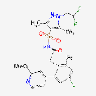 COc1cc(-c2cc(F)cc(C(C)C)c2CC(=O)NS(=O)(=O)c2c(C)nn(CC(F)F)c2C)ccn1